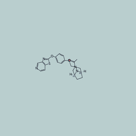 CC(=O)N1C[C@H]2CC[C@@H](C1)N2CCOc1ccc(Oc2nc3cnccc3s2)cc1